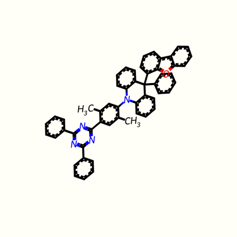 Cc1cc(N2c3ccccc3C(c3ccccc3)(c3cccc4c3oc3ccccc34)c3ccccc32)c(C)cc1-c1nc(-c2ccccc2)nc(-c2ccccc2)n1